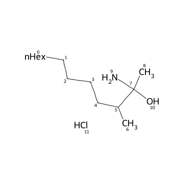 CCCCCCCCCCC(C)C(C)(N)O.Cl